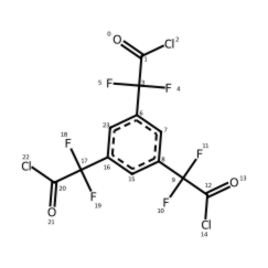 O=C(Cl)C(F)(F)c1cc(C(F)(F)C(=O)Cl)cc(C(F)(F)C(=O)Cl)c1